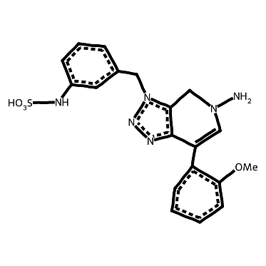 COc1ccccc1C1=CN(N)Cc2c1nnn2Cc1cccc(NS(=O)(=O)O)c1